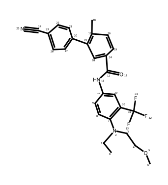 CCN(CCOC)c1ccc(NC(=O)c2ccc(C)c(-c3ccc(C#N)cc3)c2)cc1C(F)(F)F